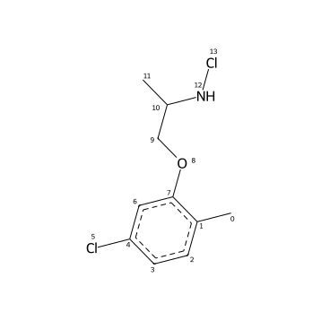 Cc1ccc(Cl)cc1OCC(C)NCl